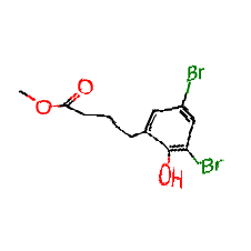 COC(=O)CCCc1cc(Br)cc(Br)c1O